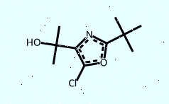 CC(C)(C)c1nc(C(C)(C)O)c(Cl)o1